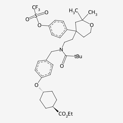 CCOC(=O)[C@H]1CC[C@H](Oc2ccc(CN(CCC3(c4ccc(OS(=O)(=O)C(F)(F)F)cc4)CCOC(C)(C)C3)C(=O)C(C)(C)C)cc2)CC1